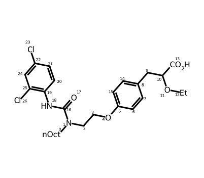 CCCCCCCCN(CCOc1ccc(CC(OCC)C(=O)O)cc1)C(=O)Nc1ccc(Cl)cc1Cl